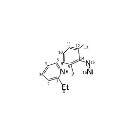 CCc1ccccn1.Cc1cccc(C)c1[N]=[Ni]